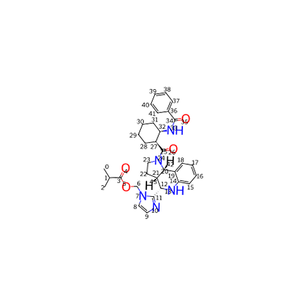 CC(C)C(=O)OCn1ccnc1[C@H]1Nc2ccccc2[C@@H]2[C@H]1CCN2C(=O)[C@H]1CCCC[C@H]1NC(=O)c1ccccc1